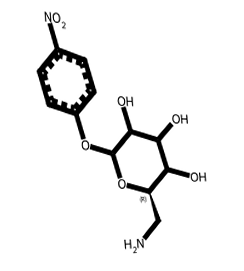 NC[C@H]1OC(Oc2ccc([N+](=O)[O-])cc2)C(O)C(O)C1O